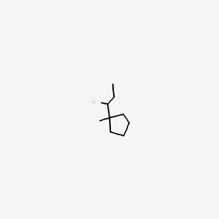 [CH2]C1(C(O)CC)CCCC1